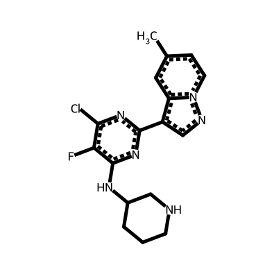 Cc1ccn2ncc(-c3nc(Cl)c(F)c(NC4CCCNC4)n3)c2c1